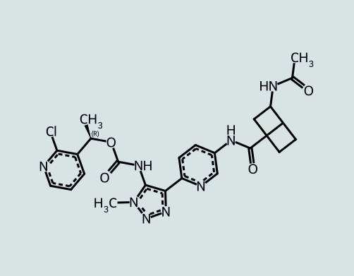 CC(=O)NC1CC2(C(=O)Nc3ccc(-c4nnn(C)c4NC(=O)O[C@H](C)c4cccnc4Cl)nc3)CCC12